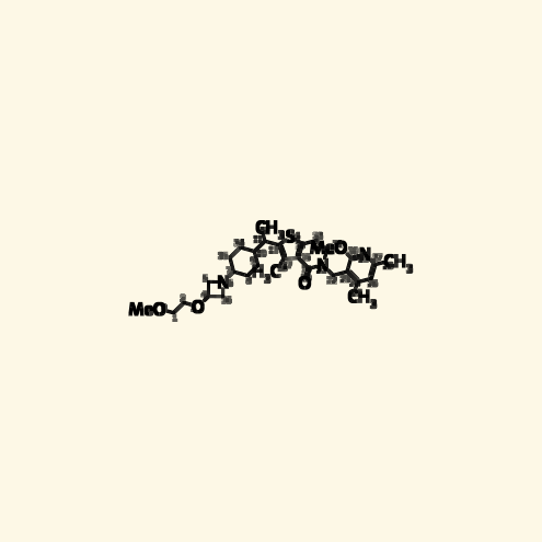 COCCOC1CN(C2CCC(C(C)c3sc4c(c3C)C(=O)N(Cc3c(C)cc(C)nc3OC)CC4)CC2)C1